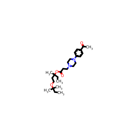 CCC(C)(C)OCCC(C)(CC)OC(=O)CCN1CCN(c2ccc(C(C)=O)cc2)CC1